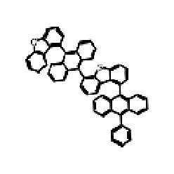 C1=Cc2oc3cccc(-c4c5ccccc5c(-c5cccc6c5sc5cccc(-c7c8ccccc8c(-c8ccccc8)c8ccccc78)c56)c5ccccc45)c3c2CC1